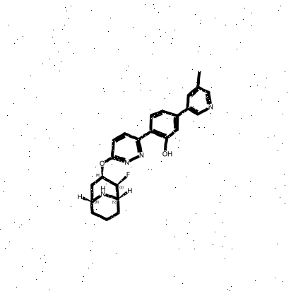 Cc1cncc(-c2ccc(-c3ccc(O[C@@H]4C[C@H]5CCC[C@H](N5)[C@@H]4F)nn3)c(O)c2)c1